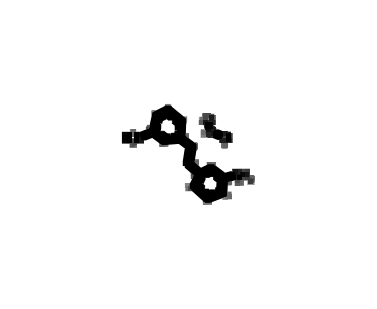 CCOCC.Nc1cccc(C=Cc2cccc(N)c2)c1